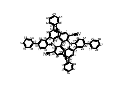 N#Cc1cc(C#N)c(-n2c3ccc(-c4ccccc4)cc3c3cc(-c4ccccc4)ccc32)c(-c2cc(C#N)cc(C#N)c2-n2c3ccc(-c4ccccc4)cc3c3cc(-c4ccccc4)ccc32)c1